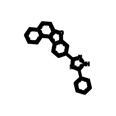 c1ccc(-c2nc(-c3ccc4c(c3)oc3ccc5ccccc5c34)n[nH]2)cc1